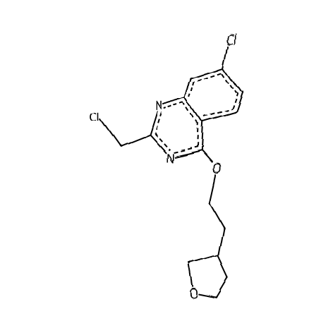 ClCc1nc(OCCC2CCOC2)c2ccc(Cl)cc2n1